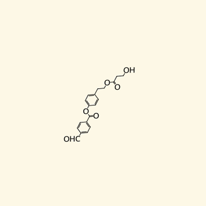 O=Cc1ccc(C(=O)Oc2ccc(CCOC(=O)CCO)cc2)cc1